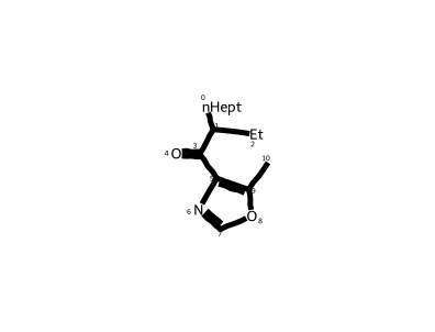 CCCCCCCC(CC)C(=O)c1ncoc1C